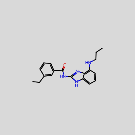 CCCNc1cccc2[nH]c(NC(=O)c3cccc(CC)c3)nc12